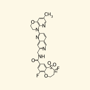 Cc1cnc2c(c1)OCCN2c1ccc2cnc(CNC(=O)c3cc(F)c4c(c3)S(=O)(=O)[C@@H](F)CCO4)cc2n1